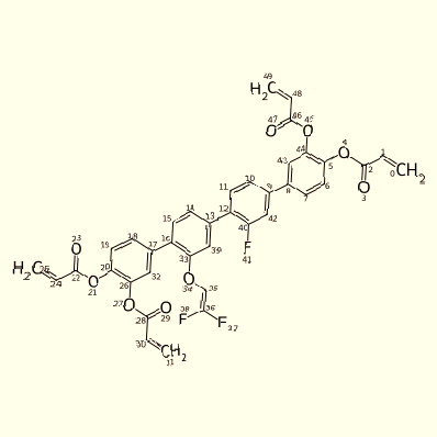 C=CC(=O)Oc1ccc(-c2ccc(-c3ccc(-c4ccc(OC(=O)C=C)c(OC(=O)C=C)c4)c(OC=C(F)F)c3)c(F)c2)cc1OC(=O)C=C